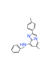 Cc1ccc(-c2cn3cc(C)cc(NCc4ccccc4)c3n2)cc1